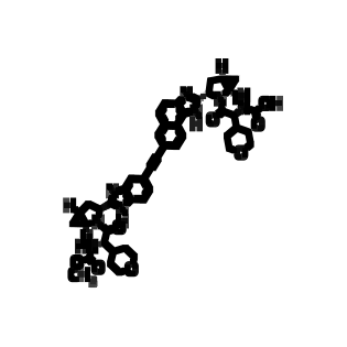 COC(=O)N[C@H](C(=O)N1[C@@H]2C[C@@H]2C[C@H]1c1nc2cc(C#Cc3ccc4c(ccc5nc([C@@H]6C[C@H]7C[C@H]7N6C(=O)[C@@H](NC(=O)O)C6CCOCC6)[nH]c54)c3)ccc2[nH]1)C1CCOCC1